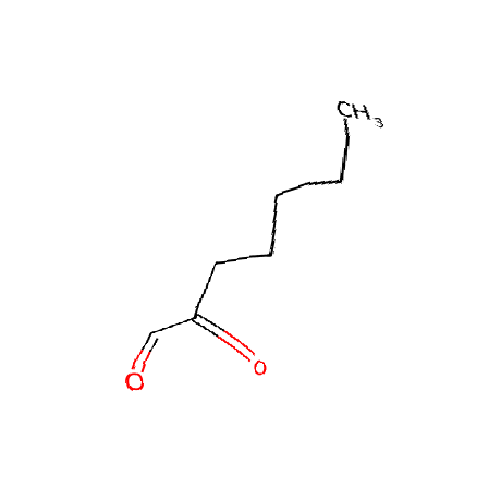 CCCCCC(=O)C=O